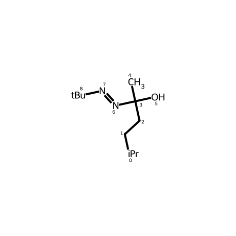 CC(C)CCC(C)(O)N=NC(C)(C)C